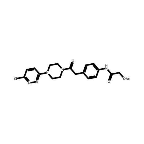 CC(=O)OCC(=O)Nc1ccc(CC(=O)N2CCN(c3ccc(Cl)nn3)CC2)cc1